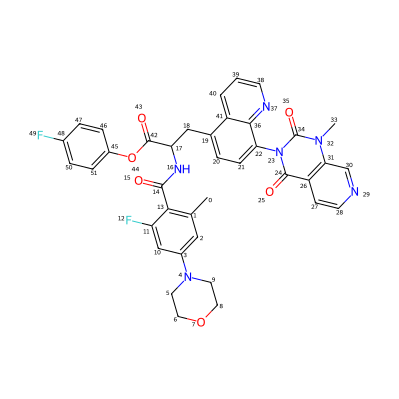 Cc1cc(N2CCOCC2)cc(F)c1C(=O)NC(Cc1ccc(-n2c(=O)c3ccncc3n(C)c2=O)c2ncccc12)C(=O)Oc1ccc(F)cc1